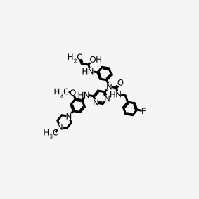 C=CC(O)Nc1cccc(N(C(=O)NCc2cccc(F)c2)c2cc(Nc3ccc(N4CCN(C)CC4)cc3OC)ncn2)c1